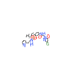 Cc1ccc(NC(=O)Cn2ncc(Cl)cc2=O)cc1S(=O)(=O)NCCc1ccccn1